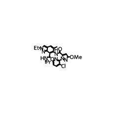 CCn1cc2cc(C)c(NC(=O)c3cc(OC)nn3-c3ncccc3Cl)c(C(=O)NC(C)C)c2n1